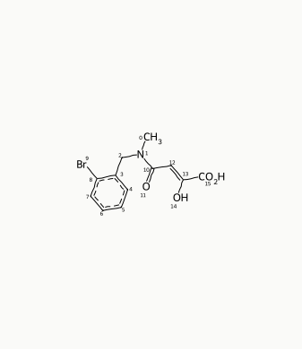 CN(Cc1ccccc1Br)C(=O)C=C(O)C(=O)O